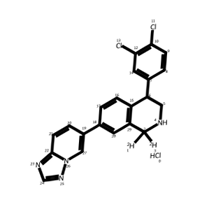 Cl.[2H]C1([2H])NCC(c2ccc(Cl)c(Cl)c2)c2ccc(-c3ccc4ncnn4c3)cc21